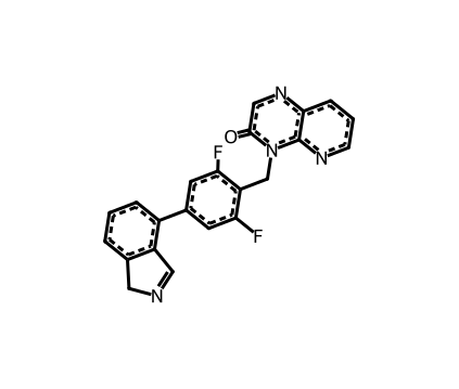 O=c1cnc2cccnc2n1Cc1c(F)cc(-c2cccc3c2C=NC3)cc1F